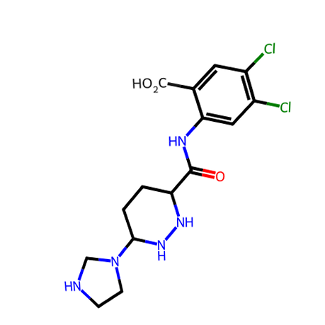 O=C(O)c1cc(Cl)c(Cl)cc1NC(=O)C1CCC(N2CCNC2)NN1